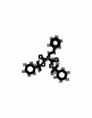 CC(C)(OC(=O)N(CCc1ccccc1)C(=O)OC(C)(C)C1CCCCC1)C1CCCCC1